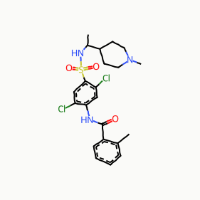 Cc1ccccc1C(=O)Nc1cc(Cl)c(S(=O)(=O)NC(C)C2CCN(C)CC2)cc1Cl